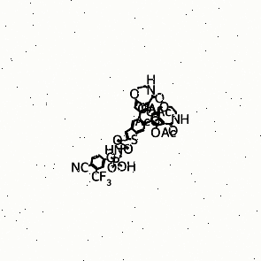 CC(=O)Oc1c2cc(-c3cc4cc(S(=O)(=O)NCP(=O)(O)Oc5ccc(C#N)c(C(F)(F)F)c5)sc4cc3-c3cc4c(OC(C)=O)c(c3OC(C)=O)C(=O)NCCO4)c(OC(C)=O)c1C(=O)NCCO2